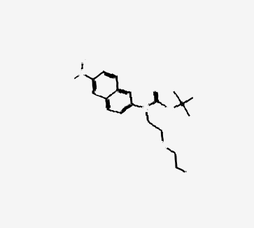 CC(C)(C)OC(=O)N(CCOCCF)c1ccc2cc(B(O)O)ccc2c1